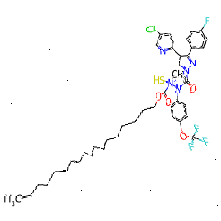 CCCCCCCCCCCCCCCCCCOC(=O)[N+](C)(S)N(C(=O)N1CC(c2ccc(Cl)cn2)C(c2ccc(F)cc2)=N1)c1ccc(OC(F)(F)F)cc1